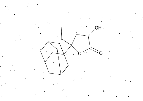 CCC1(C23CC4CC(CC(C4)C2)C3)CC(O)C(=O)O1